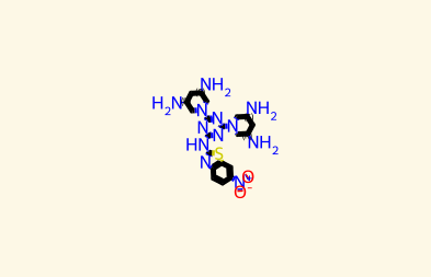 N[C@@H]1C[C@H](N)CN(c2nc(Nc3nc4ccc([N+](=O)[O-])cc4s3)nc(N3C[C@H](N)C[C@H](N)C3)n2)C1